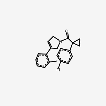 Cc1ccccc1C1=CCN(C(=O)C2(c3ccc(Cl)cc3)CC2)C1